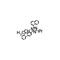 CC(C)c1nc(-c2ccc3c(c2)C(C)(C)c2ccccc2-3)nc(-c2cccc3ccccc23)n1